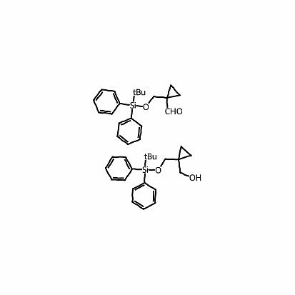 CC(C)(C)[Si](OCC1(C=O)CC1)(c1ccccc1)c1ccccc1.CC(C)(C)[Si](OCC1(CO)CC1)(c1ccccc1)c1ccccc1